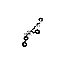 O=C(Nc1ccc(-c2ccccc2)cc1)N[C@@H](CCCNCCN1CCCC1)Cc1ccccc1